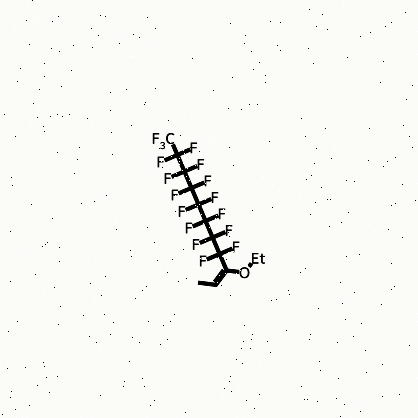 CC=C(OCC)C(F)(F)C(F)(F)C(F)(F)C(F)(F)C(F)(F)C(F)(F)C(F)(F)C(F)(F)F